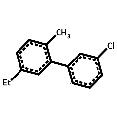 CCc1ccc(C)c(-c2[c]ccc(Cl)c2)c1